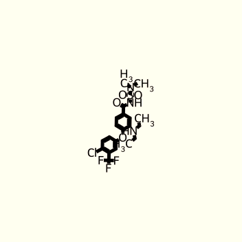 CCNCC.CN(C)S(=O)(=O)NC(=O)c1ccc(Oc2ccc(Cl)c(C(F)(F)F)c2)cc1